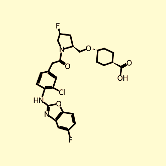 O=C(Cc1ccc(Nc2nc3cc(F)ccc3o2)c(Cl)c1)N1C[C@@H](F)C[C@H]1CO[C@H]1CC[C@H](C(=O)O)CC1